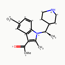 COC(=O)c1c(C)n([C@H](C)C2CCNCC2)c2ccc([N+](=O)[O-])cc12